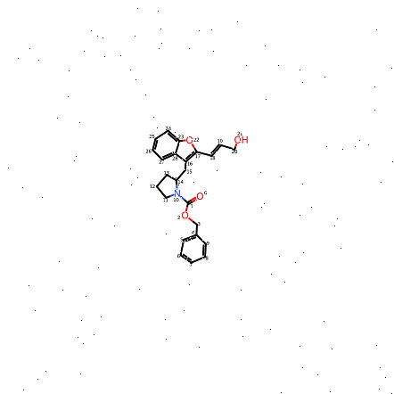 O=C(OCc1ccccc1)N1CCCC1Cc1c(C=CCO)oc2ccccc12